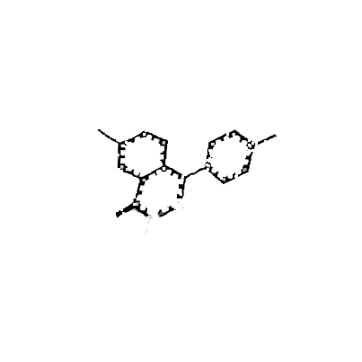 O=c1[nH]nc(-c2ccc(F)cc2)c2ccc(F)cc12